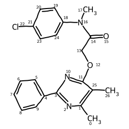 Cc1nc(-c2ccccc2)nc(OCC(=O)N(C)c2ccc(Cl)cc2)c1C